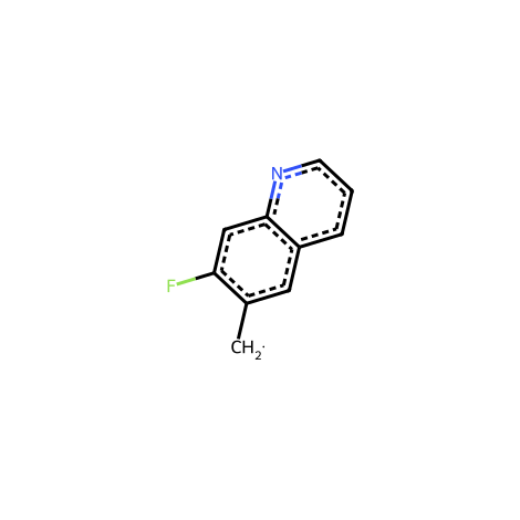 [CH2]c1cc2cccnc2cc1F